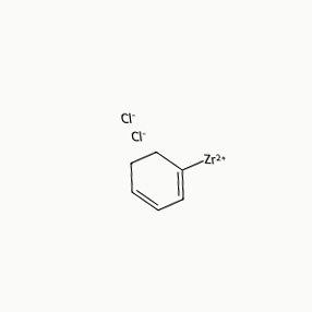 [Cl-].[Cl-].[Zr+2][C]1=CC=CCC1